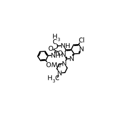 COc1ccccc1NS(=O)(=O)C(C)Nc1nc(N2CCN(C)CC2)nc2cnc(Cl)cc12